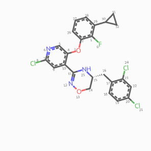 Fc1c(Oc2cnc(Cl)cc2C2=NOC[C@@H](Cc3ccc(Cl)cc3Cl)N2)cccc1C1CC1